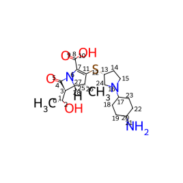 C[C@@H](O)[C@H]1C(=O)N2C(C(=O)O)=C(S[C@@H]3CCN(C4CCC(N)CC4)C3)[C@H](C)[C@H]12